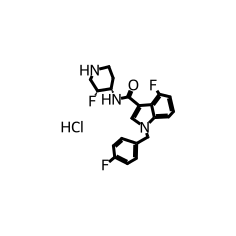 Cl.O=C(N[C@H]1CCNC[C@H]1F)c1cn(Cc2ccc(F)cc2)c2cccc(F)c12